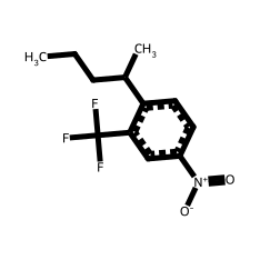 CCCC(C)c1ccc([N+](=O)[O-])cc1C(F)(F)F